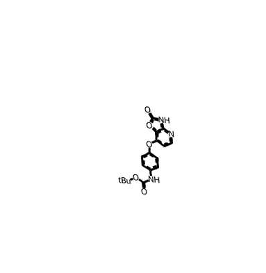 CC(C)(C)OC(=O)Nc1ccc(Oc2ccnc3[nH]c(=O)oc23)cc1